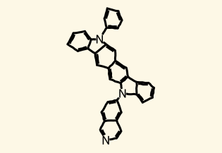 c1ccc(-n2c3ccccc3c3cc4cc5c(cc4cc32)c2ccccc2n5-c2ccc3cnccc3c2)cc1